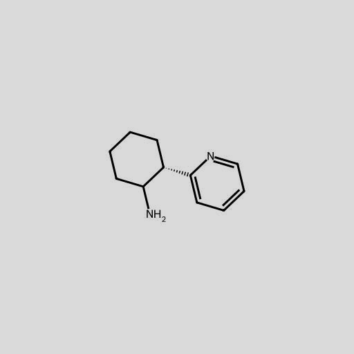 NC1CCCC[C@@H]1c1ccccn1